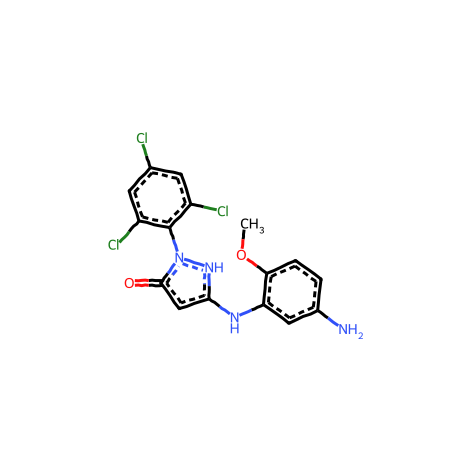 COc1ccc(N)cc1Nc1cc(=O)n(-c2c(Cl)cc(Cl)cc2Cl)[nH]1